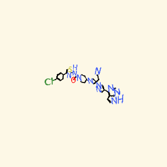 N#CCC1(n2cc(-c3ncnc4[nH]ccc34)cn2)CN(C2CCN(C(=O)Nc3nc(-c4ccc(Cl)cc4)cs3)CC2)C1